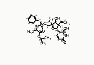 C=C[C@@]1(O)[C@H](O)C(C)(COP(=S)(NC(C)C(=O)OC(C)C)Oc2ccccc2)O[C@H]1N1C=CC(=O)NC1O